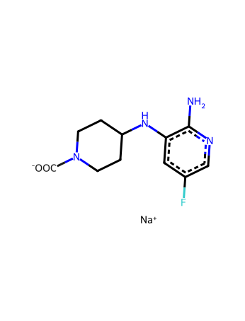 Nc1ncc(F)cc1NC1CCN(C(=O)[O-])CC1.[Na+]